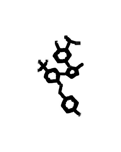 Cc1ccc(-c2cc(C(F)(F)F)ccc2OCc2ccc(F)cc2)n1-c1ccc(F)c(C(=O)O)c1